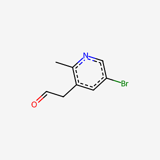 Cc1ncc(Br)cc1CC=O